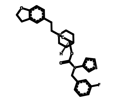 O=C(O[C@H]1C[N+]2(CCc3ccc4c(c3)CCO4)CCC1CC2)N(Cc1cccc(F)c1)c1ccsc1